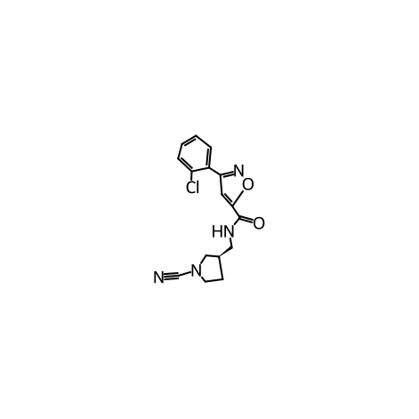 N#CN1CC[C@H](CNC(=O)c2cc(-c3ccccc3Cl)no2)C1